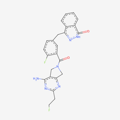 Nc1nc(CCF)nc2c1CN(C(=O)c1cc(Cc3n[nH]c(=O)c4ccccc34)ccc1F)C2